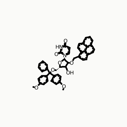 COc1ccc(C(OC[C@@H]2O[C@H](n3ccc(=O)[nH]c3=O)C(OCc3ccc4ccc5cccc6ccc3c4c56)C2O)(c2ccccc2)c2ccc(OC)cc2)cc1